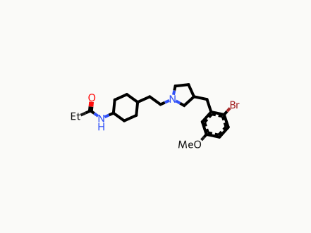 CCC(=O)NC1CCC(CCN2CCC(Cc3cc(OC)ccc3Br)C2)CC1